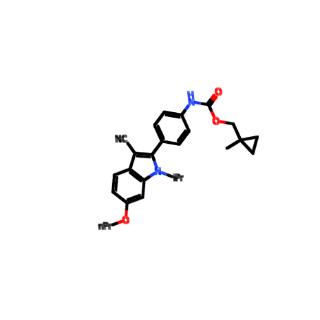 CCCOc1ccc2c(C#N)c(-c3ccc(NC(=O)OCC4(C)CC4)cc3)n(C(C)C)c2c1